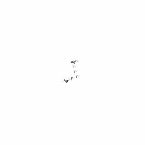 [Ag+2].[Ag+2].[F-].[F-].[F-].[F-]